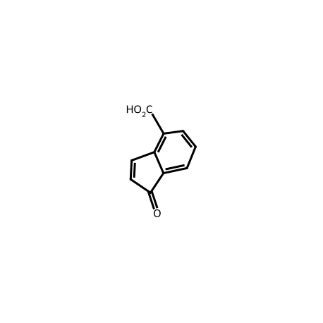 O=C(O)c1cccc2c1C=CC2=O